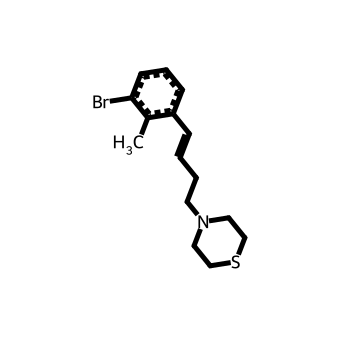 Cc1c(Br)cccc1/C=C/CCN1CCSCC1